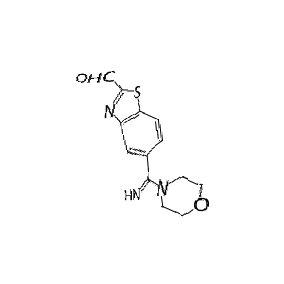 N=C(c1ccc2sc(C=O)nc2c1)N1CCOCC1